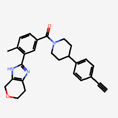 C#Cc1ccc(C2CCN(C(=O)c3ccc(C)c(-c4nc5c([nH]4)COCC5)c3)CC2)cc1